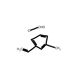 C=Cc1cccc(C)c1.O=CCl